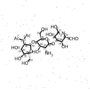 CC(=O)N(C(C)=O)[C@H]1[C@H](O[C@H]2[C@H](O)[C@@H](N)[C@H](O[C@@H]([C@H](O)[C@@H](N)C=O)[C@H](O)CO)O[C@@H]2CO)O[C@H](CO)[C@@H](O)[C@@H]1O